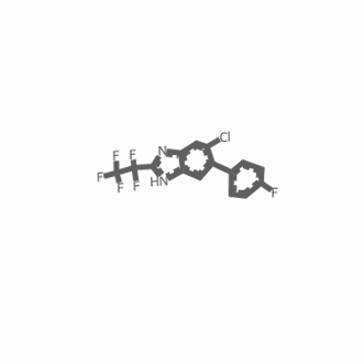 Fc1ccc(-c2cc3[nH]c(C(F)(F)C(F)(F)F)nc3cc2Cl)cc1